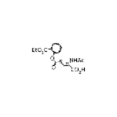 CCOC(=O)c1ccccc1OC(=O)SC[C@H](NC(C)=O)C(=O)O